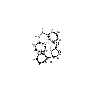 CC(Nc1nccc(N2C(=O)OC[C@@]2(C)c2ccccc2)n1)c1ccccc1